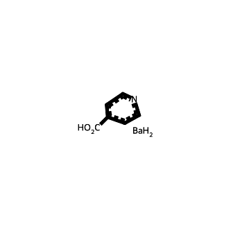 O=C(O)c1ccncc1.[BaH2]